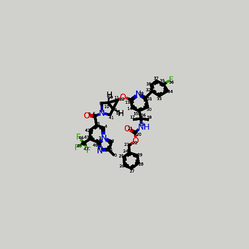 Cc1cn2cc(C(=O)N3C[C@@H]4C(Oc5cc(C(C)(C)NC(=O)OCc6ccccc6)cc(-c6ccc(F)cc6)n5)[C@@H]4C3)cc(C(F)(F)F)c2n1